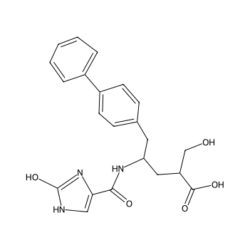 O=C(NC(Cc1ccc(-c2ccccc2)cc1)CC(CO)C(=O)O)c1c[nH]c(O)n1